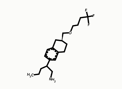 CCCC(CN)c1ccc2c(c1)CC[C@H](COCCCC(F)(F)F)C2